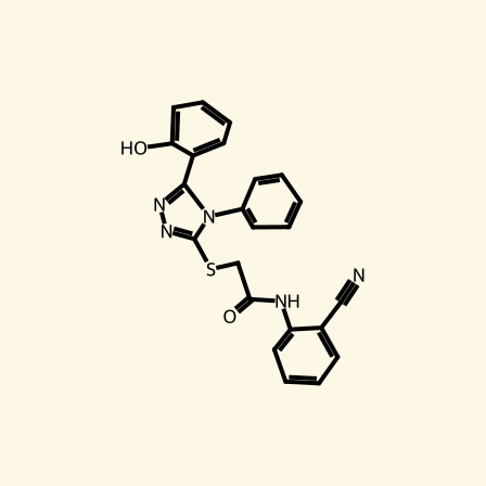 N#Cc1ccccc1NC(=O)CSc1nnc(-c2ccccc2O)n1-c1ccccc1